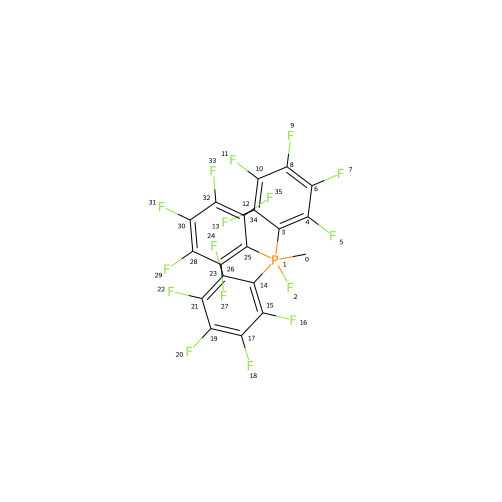 CP(F)(c1c(F)c(F)c(F)c(F)c1F)(c1c(F)c(F)c(F)c(F)c1F)c1c(F)c(F)c(F)c(F)c1F